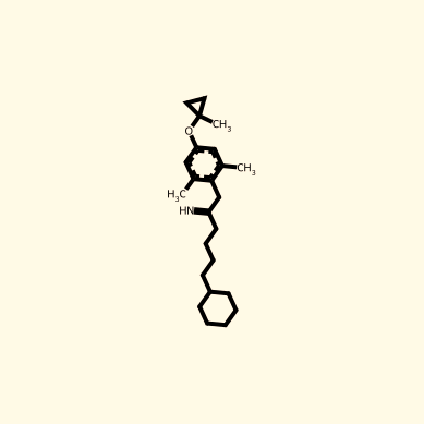 Cc1cc(OC2(C)CC2)cc(C)c1CC(=N)CCCCC1CCCCC1